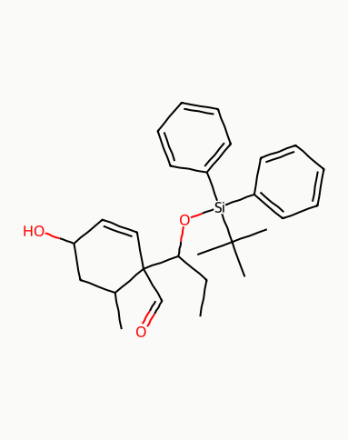 CCC(O[Si](c1ccccc1)(c1ccccc1)C(C)(C)C)C1(C=O)C=CC(O)CC1C